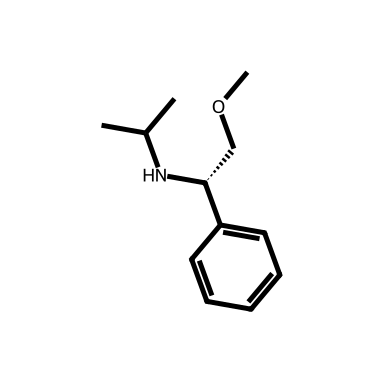 COC[C@@H](NC(C)C)c1ccccc1